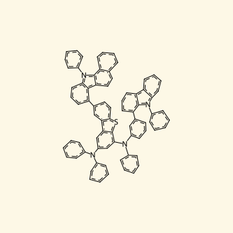 c1ccc(N(c2ccccc2)c2cc(N(c3ccccc3)c3cccc(-c4cccc5c6ccccc6n(-c6ccccc6)c45)c3)c3sc4ccc(-c5cccc6c5c5ccc7ccccc7c5n6-c5ccccc5)cc4c3c2)cc1